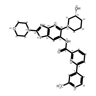 Cc1cc(-c2cccc(C(=O)Nc3cc4sc(N5CCOCC5)nc4nc3N3CCC[C@@H](O)C3)n2)ccn1